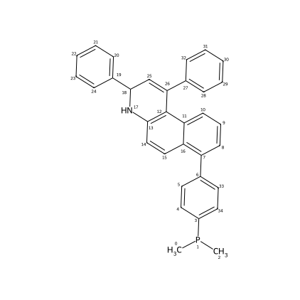 CP(C)c1ccc(-c2cccc3c4c(ccc23)NC(c2ccccc2)C=C4c2ccccc2)cc1